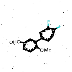 COc1ccc(C=O)cc1-c1ccc(F)c(F)c1